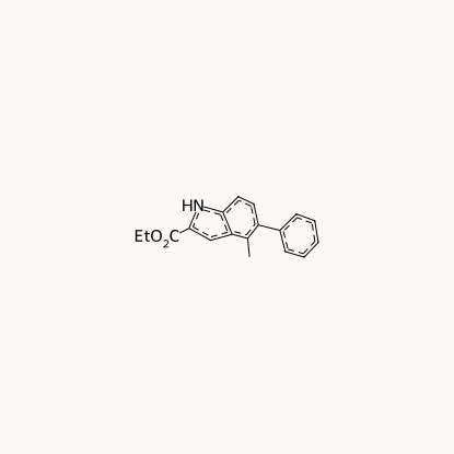 CCOC(=O)c1cc2c(C)c(-c3ccccc3)ccc2[nH]1